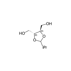 CC(C)C1O[C@H](CO)[C@@H](CO)O1